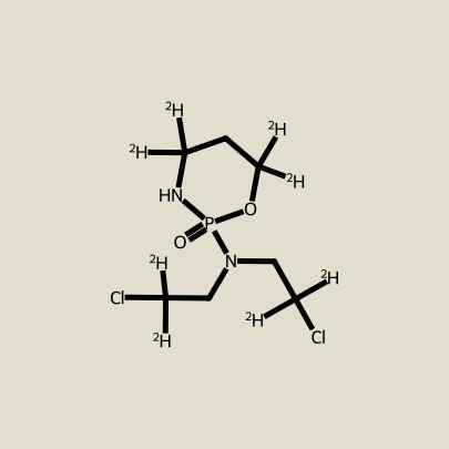 [2H]C([2H])(Cl)CN(CC([2H])([2H])Cl)P1(=O)NC([2H])([2H])CC([2H])([2H])O1